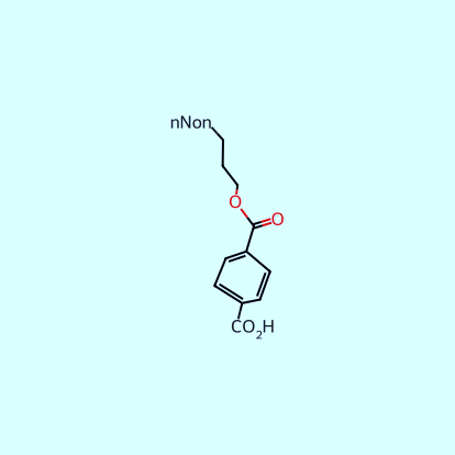 CCCCCCCCCCCCOC(=O)c1ccc(C(=O)O)cc1